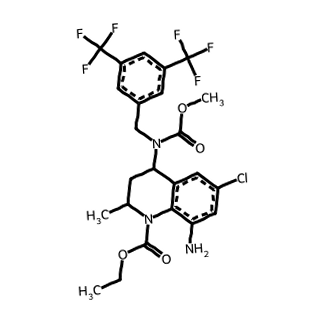 CCOC(=O)N1c2c(N)cc(Cl)cc2C(N(Cc2cc(C(F)(F)F)cc(C(F)(F)F)c2)C(=O)OC)CC1C